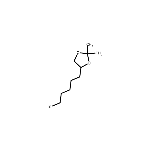 CC1(C)OCC(CCCCCBr)O1